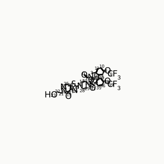 O=C(NCc1ccc(OC(F)(F)F)cc1)[C@H]1CN(c2nc3c(=O)n(CCO)ncc3s2)CCN1S(=O)(=O)c1ccc(OC(F)(F)F)cc1